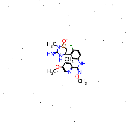 CO/N=C(/Nc1ccc(F)c([C@]2(C)C[S+]([O-])N(C)C(=N)N2)c1)c1ccc(OC)cn1